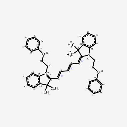 CC1(C)C(/C=C/C=C/C=C2/N(CCOc3ccccc3)c3ccccc3C2(C)C)=[N+](CCOc2ccccc2)c2ccccc21